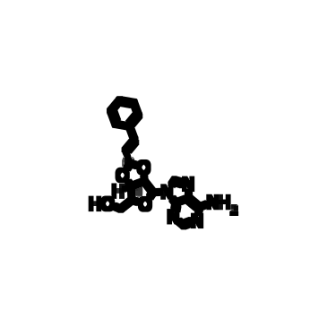 Nc1ncnc2c1ncn2C1OC(CO)[C@@H]2O[C@@H](C=Cc3ccccc3)OC12